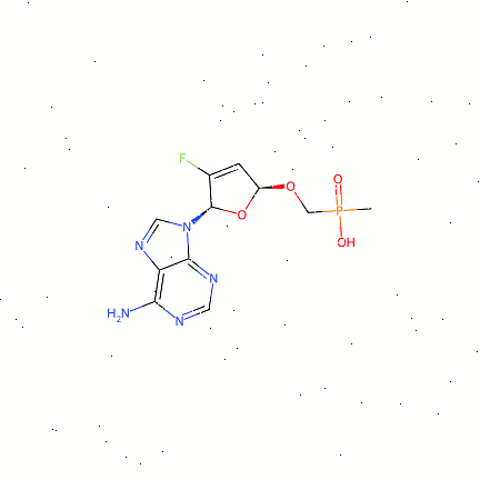 CP(=O)(O)CO[C@@H]1C=C(F)[C@H](n2cnc3c(N)ncnc32)O1